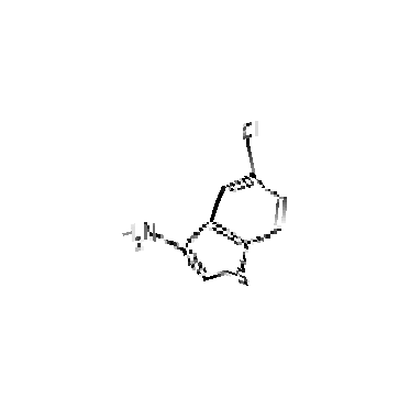 Nc1csc2ccc(Cl)cc12